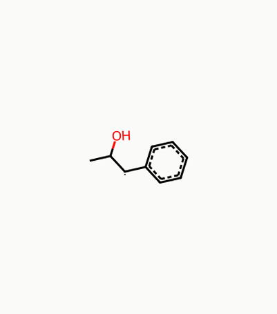 CC(O)[CH]c1ccccc1